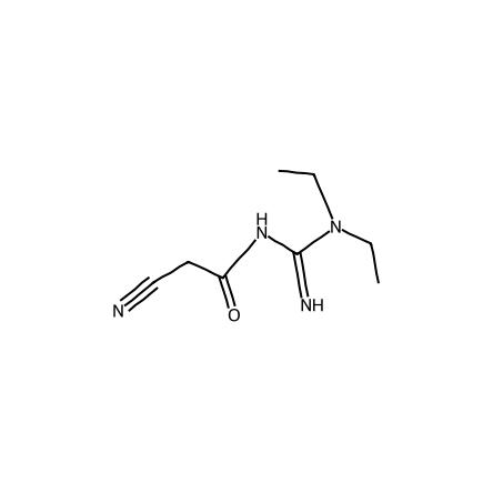 CCN(CC)C(=N)NC(=O)CC#N